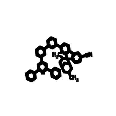 CC1CC2CC(C)C3(c4ccc(C#N)cc4-c4ccc(-c5cccc(-c6cccc(-c7cc(-c8ccccc8)nc(-c8ccccc8)c7)c6)c5)cc43)C(C1)C2